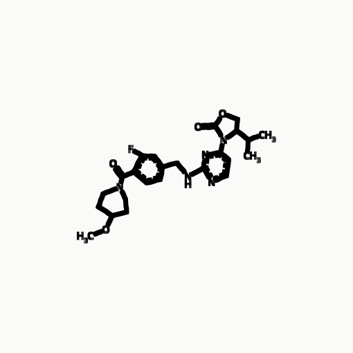 COC1CCN(C(=O)c2ccc(CNc3nccc(N4C(=O)OCC4C(C)C)n3)cc2F)CC1